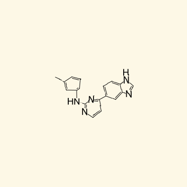 Cc1cccc(Nc2nccc(-c3ccc4[nH]cnc4c3)n2)c1